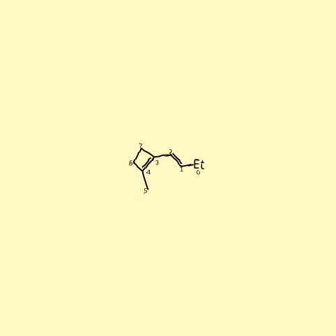 CCC=CC1=C(C)CC1